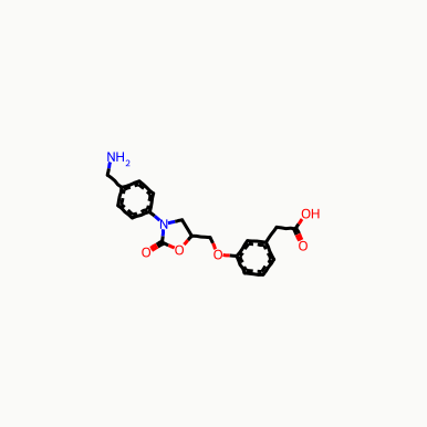 NCc1ccc(N2CC(COc3cccc(CC(=O)O)c3)OC2=O)cc1